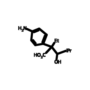 CCC(C(=O)O)(c1ccc(N)cc1)C(O)C(C)C